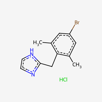 Cc1cc(Br)cc(C)c1Cc1ncc[nH]1.Cl